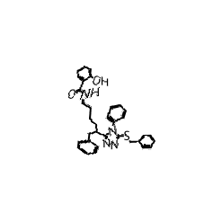 O=C(NCCCCC(Cc1ccccc1)c1nnc(SCc2ccccc2)n1-c1ccccc1)c1ccccc1O